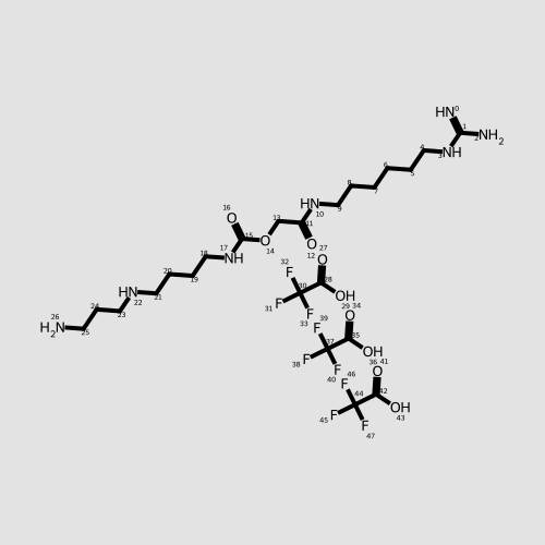 N=C(N)NCCCCCCNC(=O)COC(=O)NCCCCNCCCN.O=C(O)C(F)(F)F.O=C(O)C(F)(F)F.O=C(O)C(F)(F)F